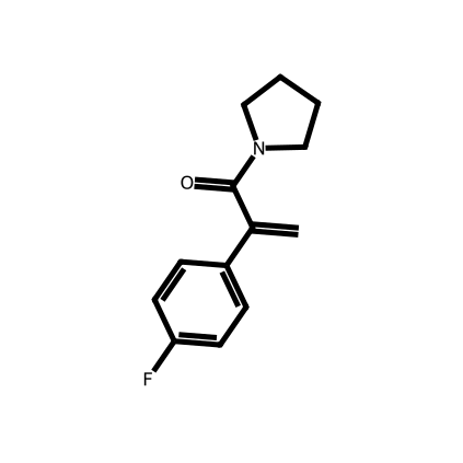 C=C(C(=O)N1CCCC1)c1ccc(F)cc1